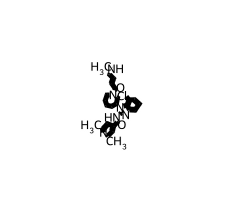 CNCC=CC(=O)N1CCCCC(n2c(NC(=O)c3cc(C)nc(C)c3)nc3cccc(Cl)c32)C1